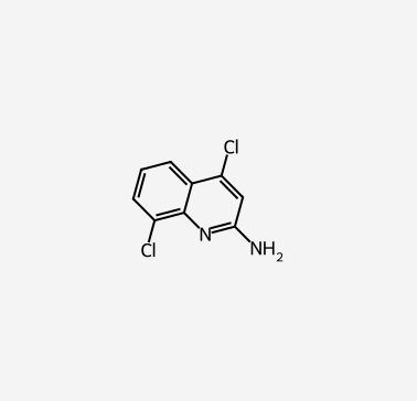 Nc1cc(Cl)c2cccc(Cl)c2n1